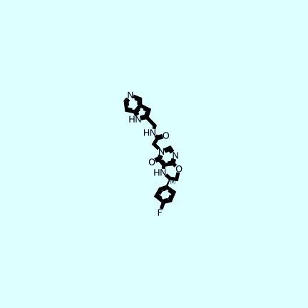 O=C(Cn1cnc2c(c1=O)N[C@H](c1ccc(F)cc1)CO2)NCc1cc2cnccc2[nH]1